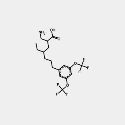 CCC(CCCc1cc(OC(F)(F)F)cc(OC(F)(F)F)c1)CC(CN)C(=O)O